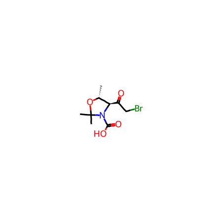 C[C@H]1OC(C)(C)N(C(=O)O)[C@@H]1C(=O)CBr